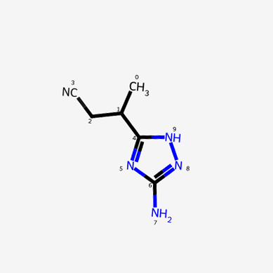 CC(CC#N)c1nc(N)n[nH]1